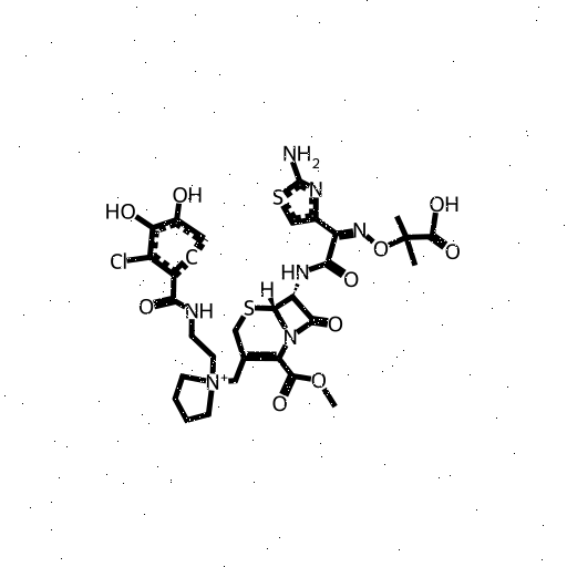 COC(=O)C1=C(C[N+]2(CCNC(=O)c3ccc(O)c(O)c3Cl)CCCC2)CS[C@@H]2[C@H](NC(=O)/C(=N\OC(C)(C)C(=O)O)c3csc(N)n3)C(=O)N12